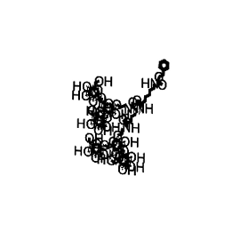 O=C(CCC[C@H](NC(=O)CCCCCNC(=O)OCc1ccccc1)C(=O)NCCO[C@H]1O[C@H](CO[C@H]2O[C@H](CO)[C@@H](O)[C@H](O)[C@@H]2O)[C@@H](O)[C@H](O[C@@H]2O[C@H](CO)[C@@H](O)[C@H](O)[C@@H]2O)[C@@H]1O)NCCO[C@H]1O[C@H](CO[C@H]2O[C@H](CO)[C@@H](O)[C@H](O)[C@@H]2O)[C@@H](O)[C@H](O[C@@H]2O[C@H](CO)[C@@H](O)[C@H](O)[C@@H]2O)[C@@H]1O